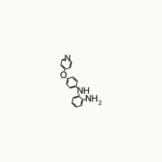 Nc1ccccc1Nc1ccc(Oc2ccncc2)cc1